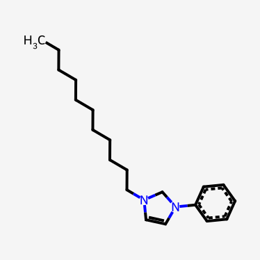 CCCCCCCCCCCN1C=CN(c2ccccc2)C1